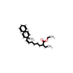 CCOC(=O)C(CC)CCCC/C=C\C1(C)C=CC2(C=CCC=C2)C=C1